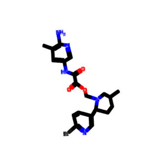 CCc1ccc(C2CCC(C)CN2COC(=O)C(=O)Nc2cnc(N)c(C)c2)cn1